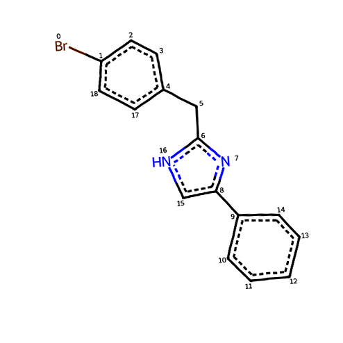 Brc1ccc(Cc2nc(-c3ccccc3)c[nH]2)cc1